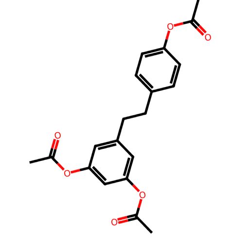 CC(=O)Oc1ccc(CCc2cc(OC(C)=O)cc(OC(C)=O)c2)cc1